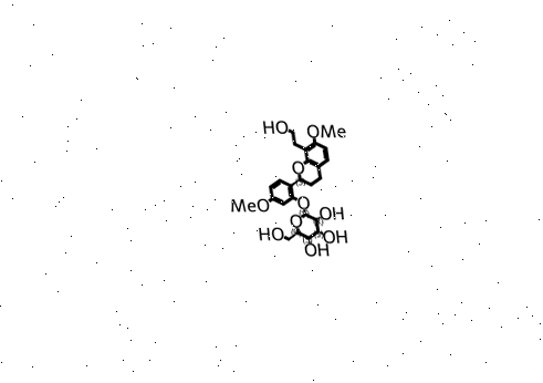 COc1ccc([C@@H]2CCc3ccc(OC)c(CCO)c3O2)c(O[C@@H]2O[C@H](CO)[C@@H](O)[C@H](O)[C@H]2O)c1